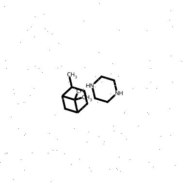 C1CNCCN1.CC1CCC2CC1C2(C)C